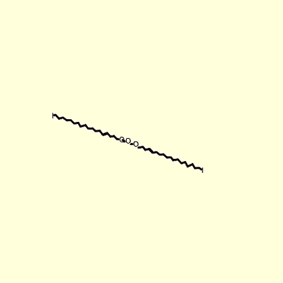 ICCCCCCCCCCCCCC=CCCCOCOCOCCCC=CCCCCCCCCCCCCCI